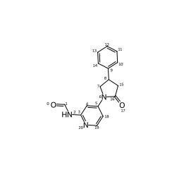 O=CNc1cc(N2CC(c3ccccc3)CC2=O)ccn1